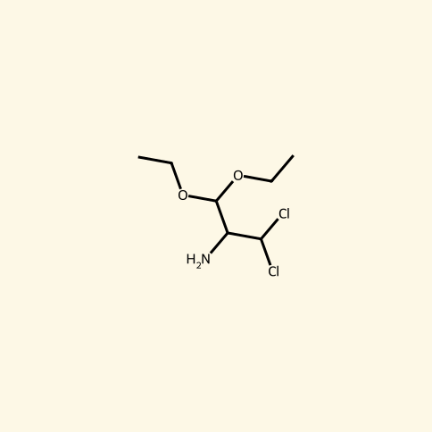 CCOC(OCC)C(N)C(Cl)Cl